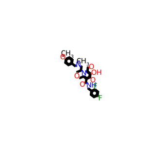 COc1ccc(CN(C)CC2COCc3c(C(=O)NCc4ccc(F)cc4F)c(=O)c(O)c(C=O)n32)cc1